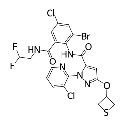 O=C(NCC(F)F)c1cc(Cl)cc(Br)c1NC(=O)c1cc(OC2CSC2)nn1-c1ncccc1Cl